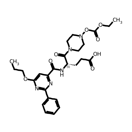 CCCOc1cc(C(=O)N[C@@H](CCC(=O)O)C(=O)N2CCN(OC(=O)OCC)CC2)nc(-c2ccccc2)n1